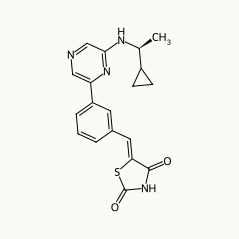 C[C@H](Nc1cncc(-c2cccc(/C=C3\SC(=O)NC3=O)c2)n1)C1CC1